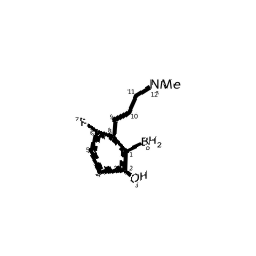 Bc1c(O)ccc(F)c1CCCNC